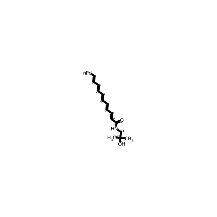 CCCC=CC=CC=CC=CC=CC(=O)NCC(C)(C)O